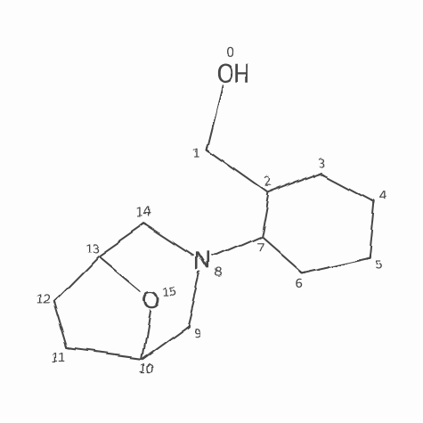 OCC1CCCCC1N1CC2CCC(C1)O2